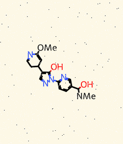 CNC(O)c1ccc(-n2ncc(C3C=C(OC)N=CC3)c2O)nc1